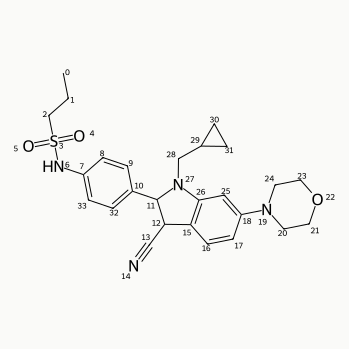 CCCS(=O)(=O)Nc1ccc(C2C(C#N)c3ccc(N4CCOCC4)cc3N2CC2CC2)cc1